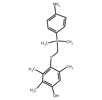 Cc1cc(O)c(C)c(C)c1SC[Si](C)(C)c1ccc(N)cc1